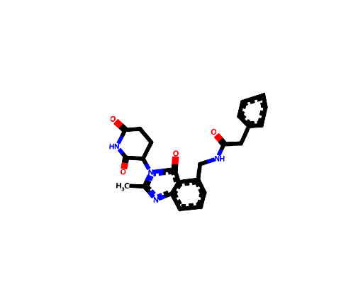 Cc1nc2cccc(CNC(=O)Cc3ccccc3)c2c(=O)n1C1CCC(=O)NC1=O